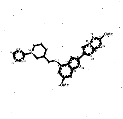 COc1cc(OCC2CCCN(c3nncs3)C2)c2cc(-c3cn4nc(OC)sc4n3)oc2c1